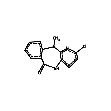 CN1c2ccccc2C(=O)Nc2ccc(Cl)nc21